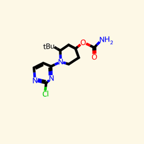 CC(C)(C)C1CC(OC(N)=O)CCN1c1ccnc(Cl)n1